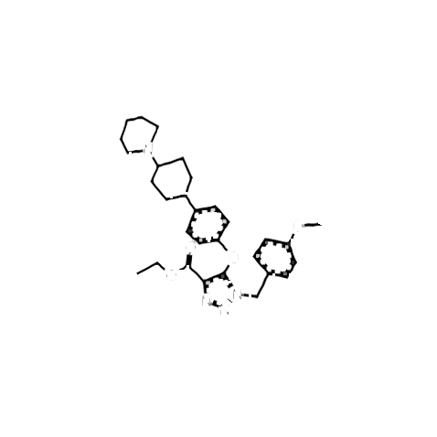 CCOC(=O)c1nnn(Cc2ccc(OC)cc2)c1Oc1ccc(C2CCC(N3CCCCC3)CC2)cc1